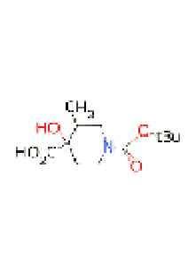 CC1CN(C(=O)OC(C)(C)C)CCC1(O)C(=O)O